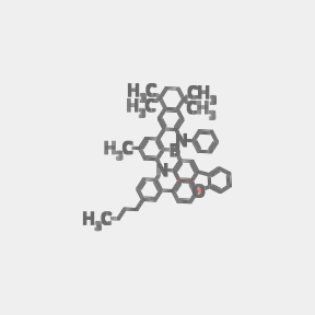 CCCCc1ccc(N2c3cc4oc5ccccc5c4cc3B3c4c(cc(C)cc42)-c2cc4c(cc2N3c2ccccc2)C(C)(C)CCC4(C)C)c(-c2ccccc2)c1